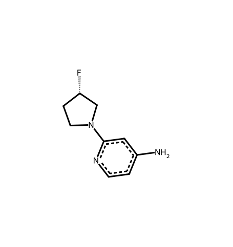 Nc1ccnc(N2CC[C@H](F)C2)c1